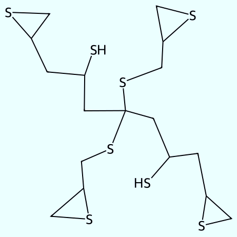 SC(CC1CS1)CC(CC(S)CC1CS1)(SCC1CS1)SCC1CS1